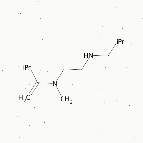 C=C(C(C)C)N(C)CCNCC(C)C